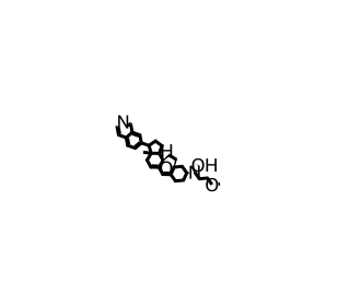 COCCN(O)[C@@H]1CCC2=CC3=CCC4(C)C(c5ccc6ccncc6c5)CC[C@H]4[C@@]34CC[C@]2(C1)O4